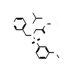 COc1cccc(S(=O)(=O)N(Cc2cccnc2)[C@H](CC(C)C)C(=O)NO)c1